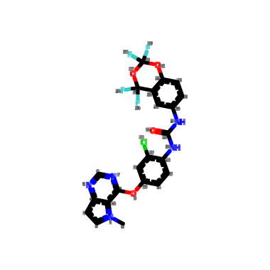 Cn1ccc2ncnc(Oc3ccc(NC(=O)Nc4ccc5c(c4)C(F)(F)OC(F)(F)O5)c(Cl)c3)c21